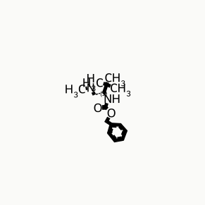 CNC[C@@H](NC(=O)OCc1ccccc1)C(C)(C)C